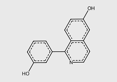 Oc1cccc(-c2nccc3cc(O)ccc23)c1